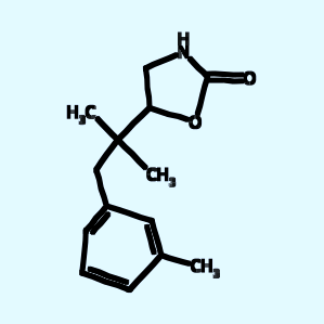 Cc1cccc(CC(C)(C)C2CNC(=O)O2)c1